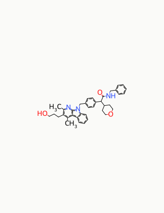 Cc1nc2c(c(C)c1CCCO)c1ccccc1n2Cc1ccc(C(C(=O)NCc2ccccc2)C2CCOCC2)cc1